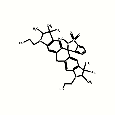 CC1N(CCO)c2cc3c(cc2C1(C)C)C1(c2cc4c(cc2O3)N(CCO)C(C)C4(C)C)c2ccccc2S(=O)(=O)N1C